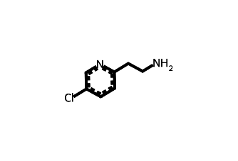 NCCc1ccc(Cl)cn1